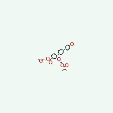 C=C(C)C(=O)OCCOc1cc(C(=O)OCCOC)ccc1-c1ccc(-c2ccc(OC)cc2)cc1